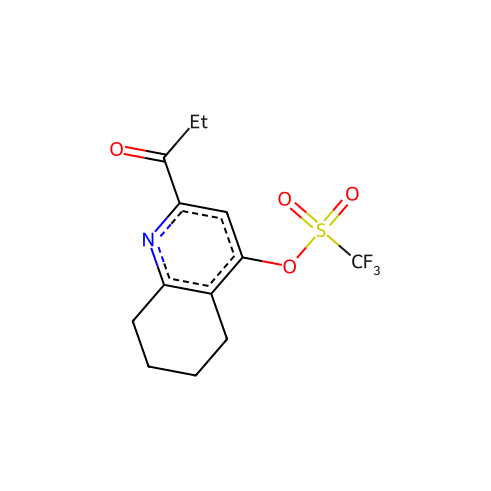 CCC(=O)c1cc(OS(=O)(=O)C(F)(F)F)c2c(n1)CCCC2